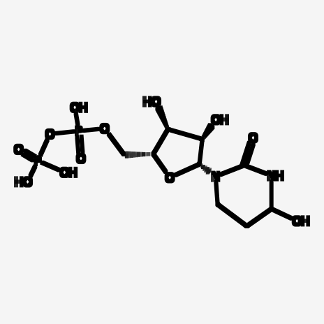 O=C1NC(O)CCN1[C@@H]1O[C@H](COP(=O)(O)OP(=O)(O)O)[C@@H](O)[C@H]1O